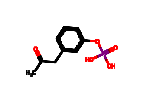 CC(=O)Cc1cccc(OP(=O)(O)O)c1